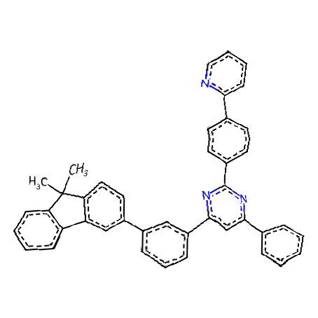 CC1(C)c2ccccc2-c2cc(-c3cccc(-c4cc(-c5ccccc5)nc(-c5ccc(-c6ccccn6)cc5)n4)c3)ccc21